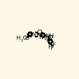 COc1cccc(N2CCN(c3ncc(NS(=O)(=O)c4ccc(C(F)(F)F)cc4)cc3Cl)CC2)c1